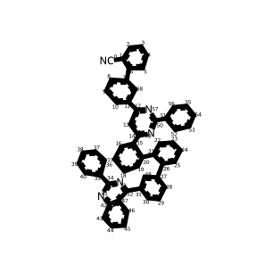 N#Cc1ccccc1-c1cccc(-c2cc(-c3ccccc3-c3ccccc3-c3cccc(-c4nc(-c5ccccc5)nc5ccccc45)c3)nc(-c3ccccc3)n2)c1